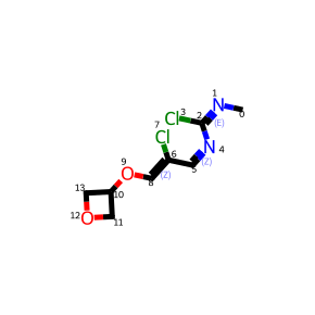 C\N=C(Cl)/N=C\C(Cl)=C\OC1COC1